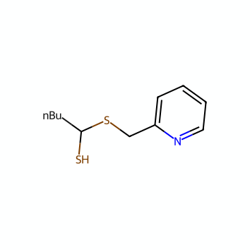 CCCCC(S)SCc1ccccn1